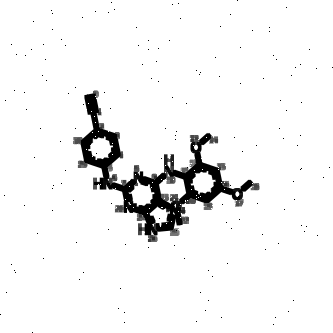 C#Cc1ccc(Nc2nc(Nc3c(OC)cc(OC)cc3OC)c3nc[nH]c3n2)cc1